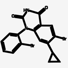 O=c1[nH]c(=O)n(-c2ccccc2Br)c2cc(C3CC3)c(Br)cc12